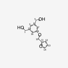 OCc1cc(CO)cc(OCc2ccco2)c1